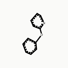 [c]1ccnc(Oc2ccccc2)c1